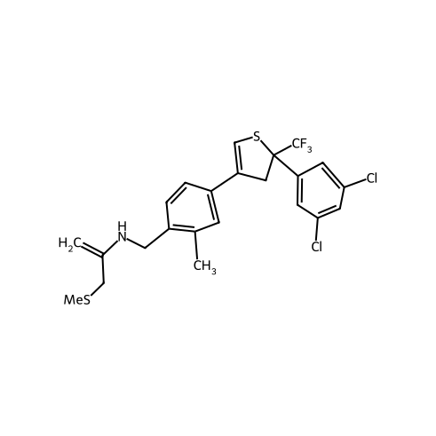 C=C(CSC)NCc1ccc(C2=CSC(c3cc(Cl)cc(Cl)c3)(C(F)(F)F)C2)cc1C